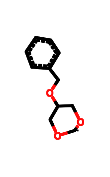 [CH]1OCC(OCc2ccccc2)CO1